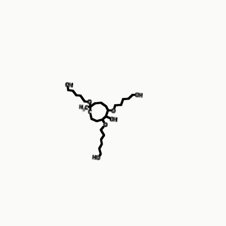 CC1(OCCCCCO)CCCC(OCCCCCO)C(O)C(OCCCCCCO)CCC1